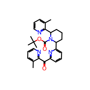 Cc1cccnc1C(=O)c1cccc(C2CCCC(c3ncccc3C)N2C(=O)OC(C)(C)C)n1